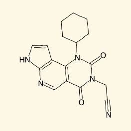 N#CCn1c(=O)c2cnc3[nH]ccc3c2n(C2CCCCC2)c1=O